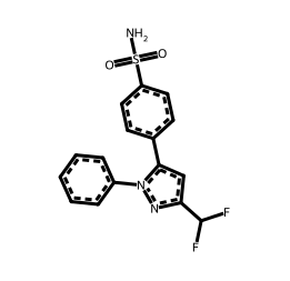 NS(=O)(=O)c1ccc(-c2cc(C(F)F)nn2-c2ccccc2)cc1